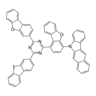 c1ccc2cc3c(cc2c1)c1ccccc1n3-c1ccc(-c2nc(-c3ccc4c(c3)oc3ccccc34)nc(-c3ccc4c(c3)sc3ccccc34)n2)c2c1oc1ccccc12